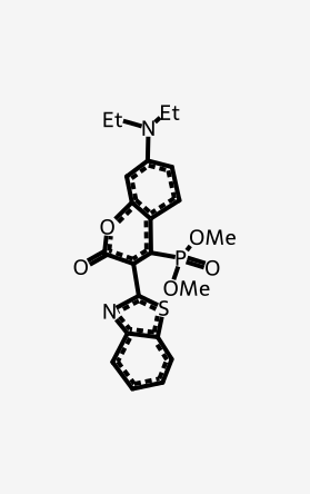 CCN(CC)c1ccc2c(P(=O)(OC)OC)c(-c3nc4ccccc4s3)c(=O)oc2c1